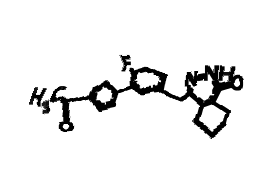 CC(=O)c1ccc(-c2cc(Cc3n[nH]c(=O)c4c3CCCC4)ccc2F)cc1